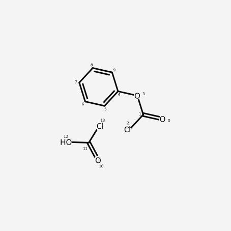 O=C(Cl)Oc1ccccc1.O=C(O)Cl